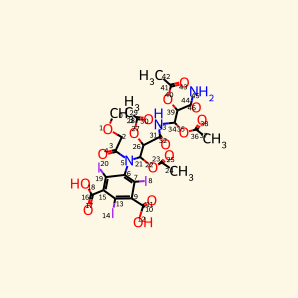 COCC(=O)N(c1c(I)c(C(=O)O)c(I)c(C(=O)O)c1I)C(OC(C)=O)C(OC(C)=O)C(=O)NC(OC(C)=O)C(OC(C)=O)C(N)=O